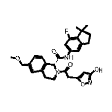 COCc1ccc2c(c1)CCN(C(=O)Cc1cc(O)no1)[C@H]2C(=O)Nc1cc(F)c2c(c1)CCC2(C)C